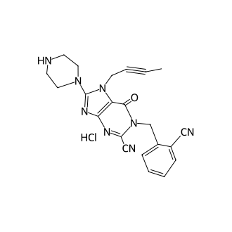 CC#CCn1c(N2CCNCC2)nc2nc(C#N)n(Cc3ccccc3C#N)c(=O)c21.Cl